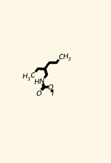 CCCC(CC)CNC(=O)OI